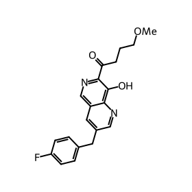 COCCCC(=O)c1ncc2cc(Cc3ccc(F)cc3)cnc2c1O